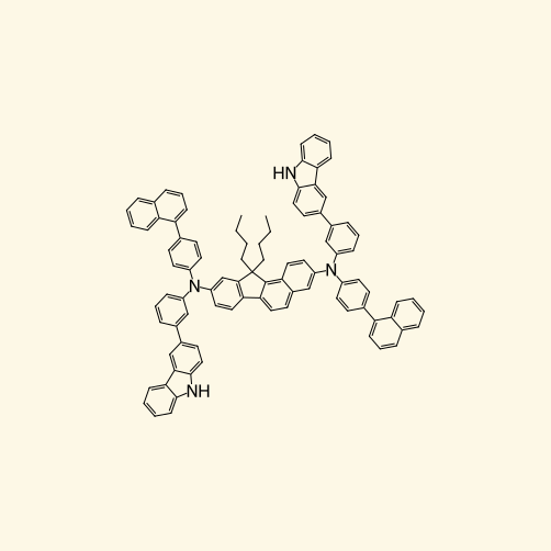 CCCCC1(CCCC)c2cc(N(c3ccc(-c4cccc5ccccc45)cc3)c3cccc(-c4ccc5[nH]c6ccccc6c5c4)c3)ccc2-c2ccc3cc(N(c4ccc(-c5cccc6ccccc56)cc4)c4cccc(-c5ccc6[nH]c7ccccc7c6c5)c4)ccc3c21